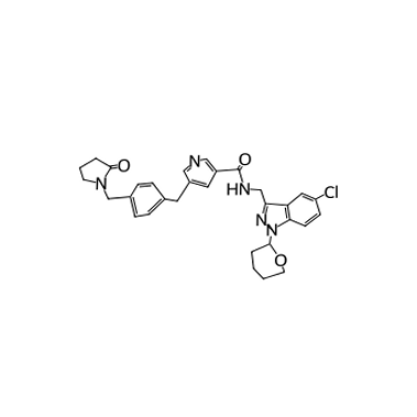 O=C(NCc1nn(C2CCCCO2)c2ccc(Cl)cc12)c1cncc(Cc2ccc(CN3CCCC3=O)cc2)c1